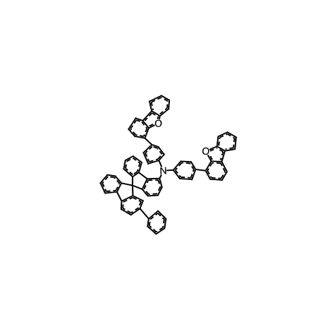 c1ccc(-c2ccc3c(c2)C2(c4ccccc4-3)c3ccccc3-c3c(N(c4ccc(-c5cccc6c5oc5ccccc56)cc4)c4ccc(-c5cccc6c5oc5ccccc56)cc4)cccc32)cc1